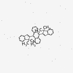 CC1(C)C(c2c3ccccc3c(C3=Cc4ccccc4C3(C)C)c3ncccc23)=Cc2ccccc21